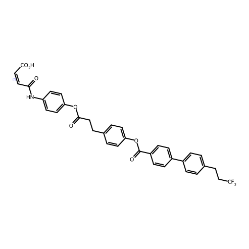 O=C(O)/C=C\C(=O)Nc1ccc(OC(=O)CCc2ccc(OC(=O)c3ccc(-c4ccc(CCC(F)(F)F)cc4)cc3)cc2)cc1